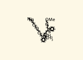 COCCOCCN1/C(=C/C=C/C2=[N+](CCOCCOCCOCCN=[N+]=[N-])c3ccccc3C2(C)C)Sc2ccccc21